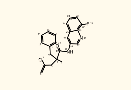 C=C(Cl)CC(C)(Cc1ccccc1)C(=O)Nc1cnc2c(F)cccc2c1